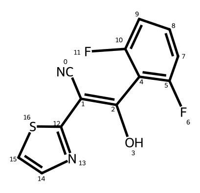 N#CC(=C(O)c1c(F)cccc1F)c1nccs1